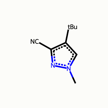 Cn1cc(C(C)(C)C)c(C#N)n1